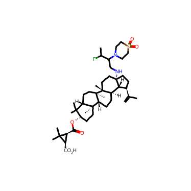 C=C(C)[C@@H]1CC[C@]2(NCC(C(C)F)N3CCS(=O)(=O)CC3)CC[C@]3(C)[C@H](CC[C@@H]4[C@@]5(C)CC[C@H](OC(=O)[C@H]6[C@@H](C(=O)O)C6(C)C)C(C)(C)[C@@H]5CC[C@]43C)[C@@H]12